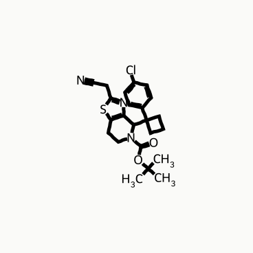 CC(C)(C)OC(=O)N1CCc2sc(CC#N)nc2C1C1(c2ccc(Cl)cc2)CCC1